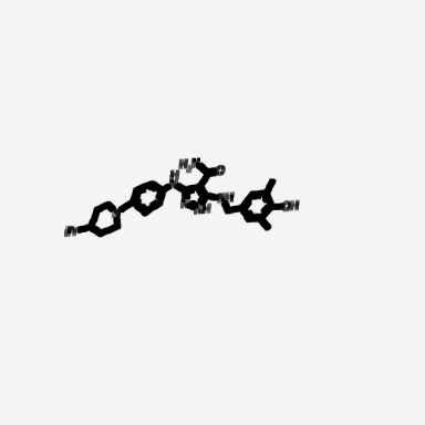 Cc1cc(CNc2[nH]nc(Nc3ccc(N4CCC(C(C)C)CC4)cc3)c2C(N)=O)cc(C)c1O